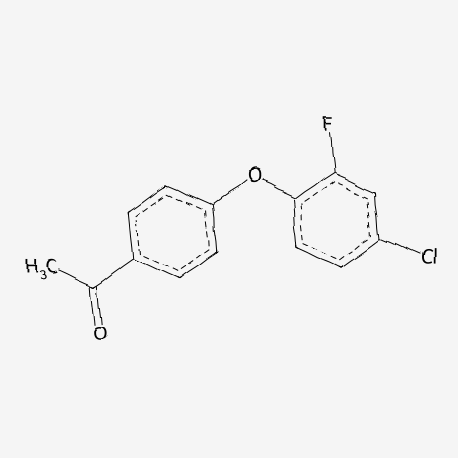 CC(=O)c1ccc(Oc2ccc(Cl)cc2F)cc1